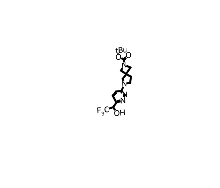 CC(C)(C)OC(=O)N1CC2(CCN(c3ccc(C(O)C(F)(F)F)nn3)C2)C1